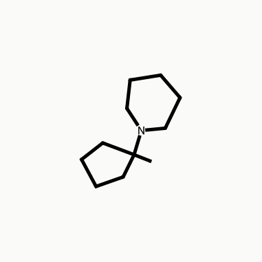 CC1(N2CCCCC2)CCCC1